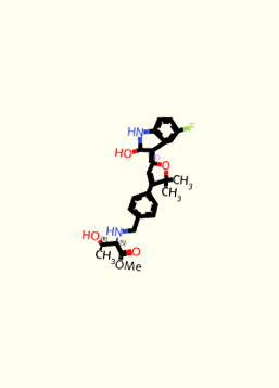 COC(=O)[C@@H](NCc1ccc(C2=C/C(=C3/c4cc(F)ccc4NC3O)OC2(C)C)cc1)[C@@H](C)O